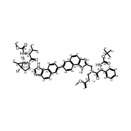 C=C(OC)[C@@H](C)CN(Cc1nc2ccc3cc(-c4ccc5c(ccc6nc([C@@H]7C[C@H]8C(C)[C@H]8N7C(=O)[C@@H](NC(=O)OC)C(C)C)[nH]c65)c4)ccc3c2n1I)C(=O)[C@H](NC(=O)OC(C)(C)C)c1ccccc1